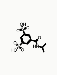 CC(C)NC(=O)c1cc(S(=O)(=O)O)cc(S(=O)(=O)O)c1